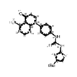 CC(C)(C)c1csc(NC(=O)Nc2ccc(-n3ccc(=O)c4c(N)ncnc43)cc2)n1